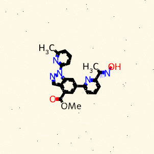 COC(=O)c1cc(-c2cccc(/C(C)=N/O)n2)cc2c1cnn2-c1cccc(C)n1